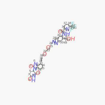 Cn1c(=O)n(C2CCC(=O)NC2=O)c2cccc(C#CCOCCOCCn3cc4cc(NC(=O)c5cccc(C(F)(F)F)n5)c(C(C)(C)O)cc4n3)c21